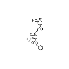 C[C@H]1C(=O)N(CCCC(=O)N2CCC3(CC3)[C@H](O)C2)CCN1C(=O)OCc1ccccc1